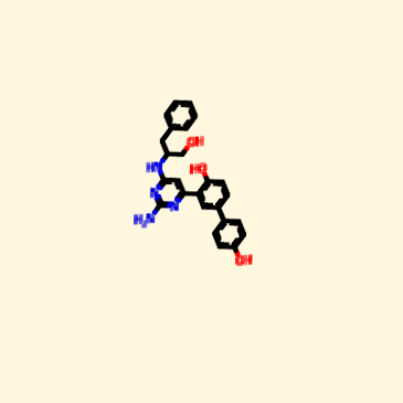 Nc1nc(NC(CO)Cc2ccccc2)cc(-c2cc(-c3ccc(O)cc3)ccc2O)n1